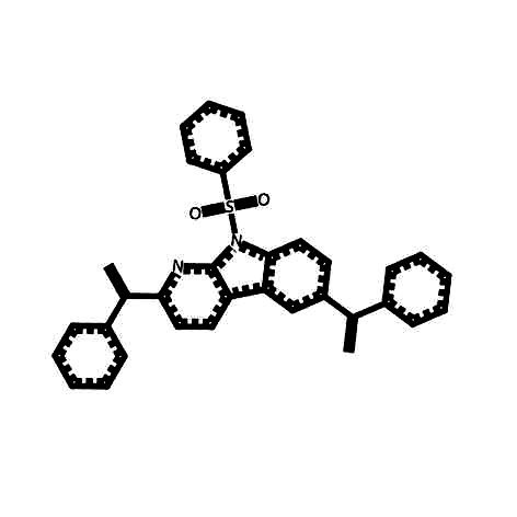 C=C(c1ccccc1)c1ccc2c(c1)c1ccc(C(=C)c3ccccc3)nc1n2S(=O)(=O)c1ccccc1